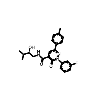 Cc1ccc(-c2cc(C(=O)NC[C@H](O)C(C)C)c(=O)n(-c3cccc(F)c3)n2)cc1